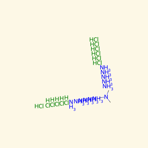 CN(C)C.Cl.Cl.Cl.Cl.Cl.Cl.Cl.Cl.Cl.Cl.Cl.Cl.N.N.N.N.N.N.N.N.N.N.N